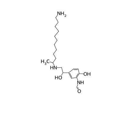 CC(CCCCCCCCCCN)NCC(O)c1ccc(O)c(NC=O)c1